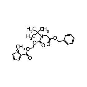 Cn1cccc1C(=O)OCOC(=O)N(CC(=O)OCc1ccccc1)C(C)(C)C